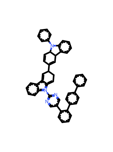 C1=CC2C(C=C1C1C=c3c(n(-c4ncc(-c5ccccc5-c5ccc(-c6ccccc6)cc5)cn4)c4ccccc34)=CC1)c1ccccc1N2c1ccccc1